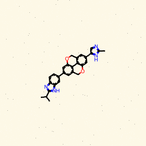 Cc1ncc(-c2cc3c4c(c2)OCc2cc(-c5ccc6nc(C(C)C)[nH]c6c5)cc(c2-4)OC3)[nH]1